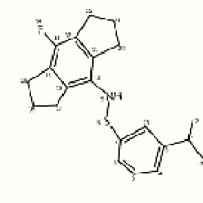 CC(C)c1cccc(SNc2c3c(c(F)c4c2CCC4)CCC3)c1